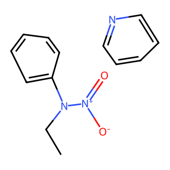 CCN(c1ccccc1)[N+](=O)[O-].c1ccncc1